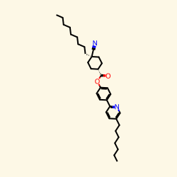 CCCCCCCCC[C@]1(C#N)CC[C@H](C(=O)Oc2ccc(-c3ccc(CCCCCCC)cn3)cc2)CC1